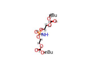 CCCCOC(=O)OCCOP([NH])(=O)OCCOC(=O)OCCCC